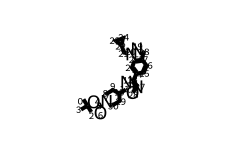 CC(C)(C)OC(=O)N1CCC(c2nc(-c3ccc4cnn(CC5CC5)c4c3)no2)CC1